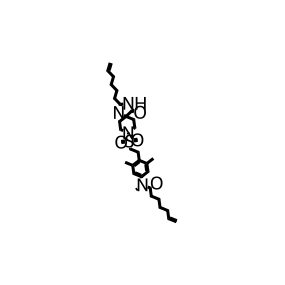 C=CCCCCC(=O)N(C)c1cc(C)c(CCS(=O)(=O)N2CCC3(CC2)N=C(CCCCC=C)NC3=O)c(C)c1